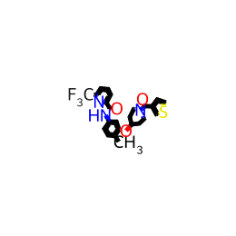 Cc1ccc(NC(=O)c2cccc(C(F)(F)F)n2)cc1OC1CCN(C(=O)c2ccsc2)CC1